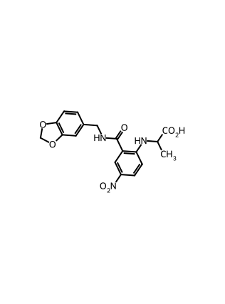 CC(Nc1ccc([N+](=O)[O-])cc1C(=O)NCc1ccc2c(c1)OCO2)C(=O)O